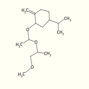 C=C1CCC(C(C)C)CC1OC(C)OC(C)COC